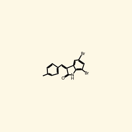 Cc1ccc(C=C2C(=O)Nc3c(Br)cc(Br)cc32)cc1